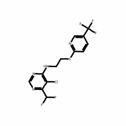 FC(F)c1ncnc(NCCSc2ccc(C(F)(F)F)cn2)c1Cl